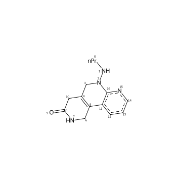 CCCNN1CC2=C(CNC(=O)C2)c2cccnc21